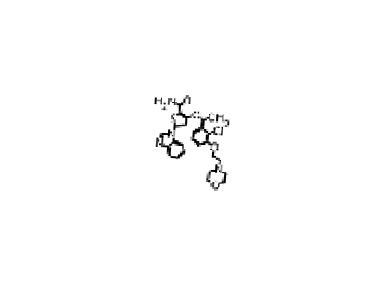 CC(Oc1cc(-n2cnc3ccccc32)sc1C(N)=O)c1cccc(OCCN2CCOCC2)c1Cl